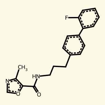 Cc1ncoc1C(=O)NCCCc1ccc(-c2ccccc2F)cc1